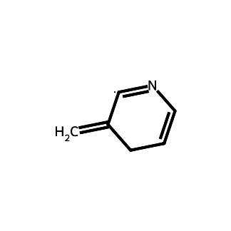 C=C1[C]=NC=CC1